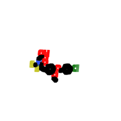 CCOc1cc(C=C2SC(=S)N(CC(=O)O)C2=O)ccc1OCc1ccc(Cl)cc1